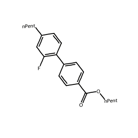 CCCCCOC(=O)c1ccc(-c2ccc(CCCCC)cc2F)cc1